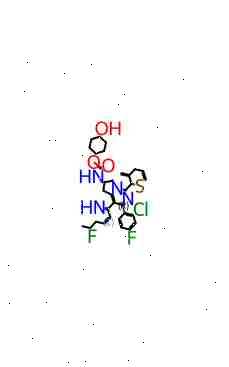 C=C1CC=CSC1C1=N[C@@H](c2ccc(F)cc2Cl)C(C(=N)/C=C\CC(C)F)=C2CC(NC(=O)OC3CCC(O)CC3)CN12